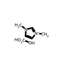 Cn1cc[n+](C)c1.O=C(O)O